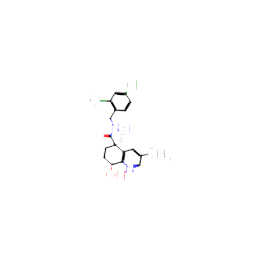 Cc1cnc2c(c1)[C@](F)(C(=O)NCc1ccc(Cl)cc1Cl)CC[C@@H]2O